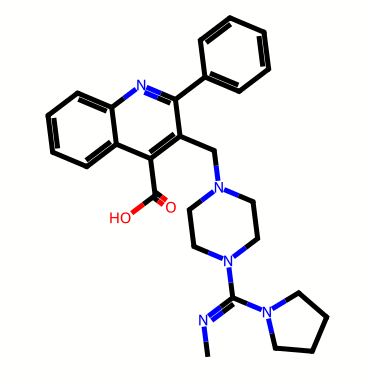 C/N=C(\N1CCCC1)N1CCN(Cc2c(-c3ccccc3)nc3ccccc3c2C(=O)O)CC1